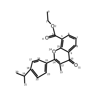 CCOC(=O)c1cccc2c(=O)c(C)c(-c3ccc(C(C)C)cc3)oc12